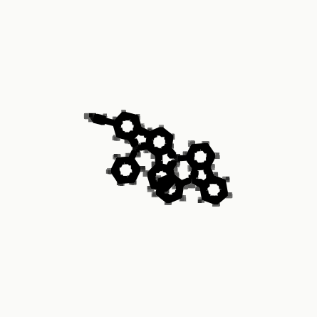 N#Cc1ccc2c3ccc4c(c5ccccc5n4-c4cccc5c6ccccc6n(-c6ccccc6)c45)c3n(-c3ccccc3)c2c1